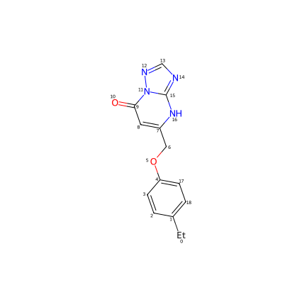 CCc1ccc(OCc2cc(=O)n3ncnc3[nH]2)cc1